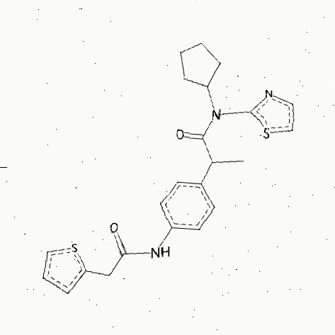 CC(C(=O)N(c1nccs1)C1CCCC1)c1ccc(NC(=O)Cc2cccs2)cc1